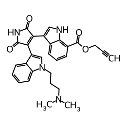 C#CCOC(=O)c1cccc2c(C3=C(c4cn(CCCN(C)C)c5ccccc45)C(=O)NC3=O)c[nH]c12